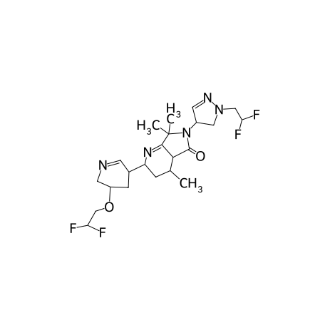 CC1CC(C2C=NCC(OCC(F)F)C2)N=C2C1C(=O)N(C1C=NN(CC(F)F)C1)C2(C)C